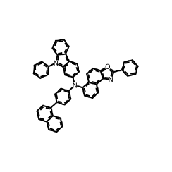 c1ccc(-c2nc3c(ccc4c(N(c5ccc(-c6cccc7ccccc67)cc5)c5ccc6c7ccccc7n(-c7ccccc7)c6c5)cccc43)o2)cc1